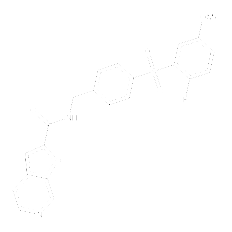 COc1ccc(F)c(S(=O)(=O)c2ccc(CNC(=O)c3cc4ccncc4o3)cc2)c1